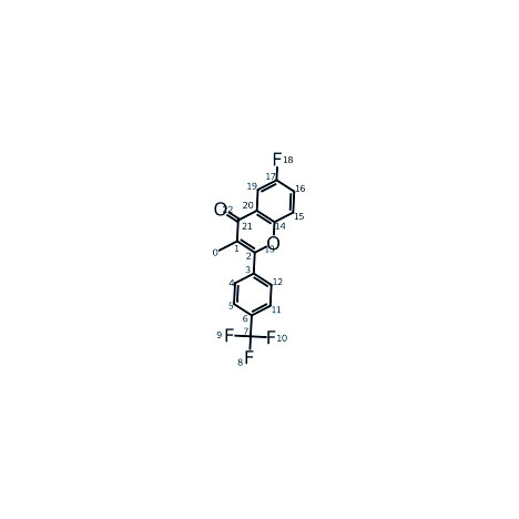 Cc1c(-c2ccc(C(F)(F)F)cc2)oc2ccc(F)cc2c1=O